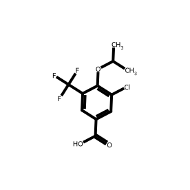 CC(C)Oc1c(Cl)cc(C(=O)O)cc1C(F)(F)F